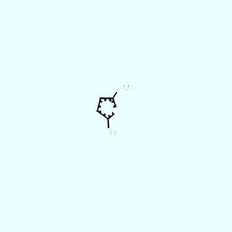 COc1ccc(C(C)C)o1